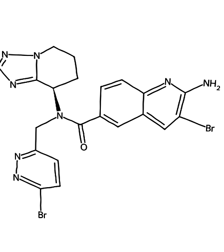 Nc1nc2ccc(C(=O)N(Cc3ccc(Br)nn3)[C@@H]3CCCn4ncnc43)cc2cc1Br